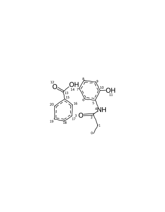 CCC(=O)Nc1ccccc1O.O=C(O)c1ccccc1